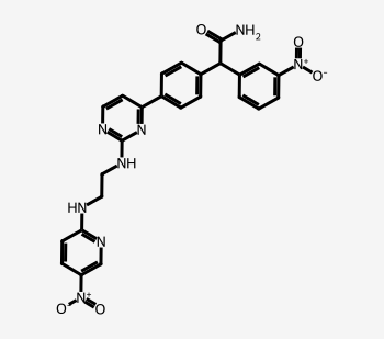 NC(=O)C(c1ccc(-c2ccnc(NCCNc3ccc([N+](=O)[O-])cn3)n2)cc1)c1cccc([N+](=O)[O-])c1